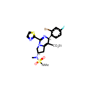 CCOC(=O)C1=C2C[C@H](N(C)S(=O)(=O)NC)CN2C(c2nccs2)=N[C@H]1c1ccc(F)cc1Br